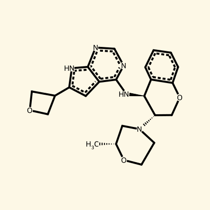 C[C@@H]1CN([C@H]2COc3ccccc3[C@@H]2Nc2ncnc3[nH]c(C4COC4)cc23)CCO1